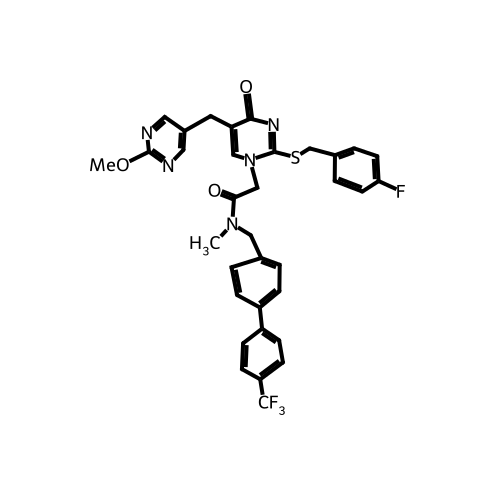 COc1ncc(Cc2cn(CC(=O)N(C)Cc3ccc(-c4ccc(C(F)(F)F)cc4)cc3)c(SCc3ccc(F)cc3)nc2=O)cn1